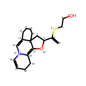 C=C(SCCO)C1CC23CCCCC2=CN2C=CCCC2=C3O1